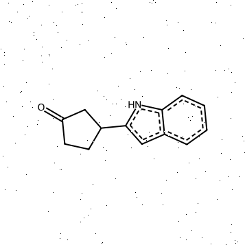 O=C1CCC(c2cc3ccccc3[nH]2)C1